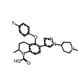 CC1CCc2c(ccc(-c3cnn(C4CCN(C)CC4)c3)c2Oc2ccc(F)cc2)N1C(=O)O